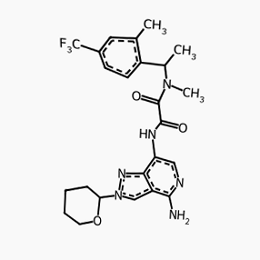 Cc1cc(C(F)(F)F)ccc1C(C)N(C)C(=O)C(=O)Nc1cnc(N)c2cn(C3CCCCO3)nc12